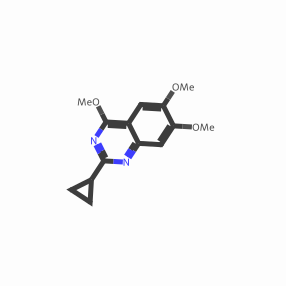 COc1cc2nc(C3CC3)nc(OC)c2cc1OC